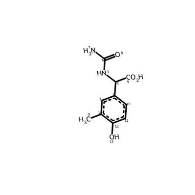 Cc1cc(C(NC(N)=O)C(=O)O)ccc1O